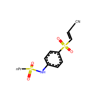 CCCS(=O)(=O)Nc1ccc(S(=O)(=O)/C=C/C#N)cc1